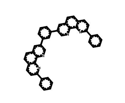 c1ccc(-c2ccc3ccc4cc(-c5cccc(-c6cnc7c(ccc8ccc(-c9ccccc9)nc87)c6)c5)cnc4c3n2)cc1